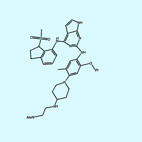 CNCCNC1CCN(c2cc(OC(C)C)c(Nc3nc(Nc4cccc5c4N(S(C)(=O)=O)CC5)c4cc[nH]c4n3)cc2C)CC1